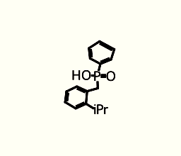 CC(C)c1ccccc1CP(=O)(O)c1ccccc1